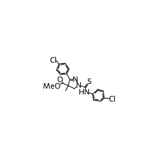 COC(=O)C1(C)CN(C(=S)Nc2ccc(Cl)cc2)N=C1c1ccc(Cl)cc1